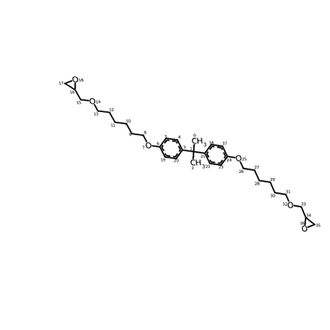 CC(C)(c1ccc(OCCCCCCOCC2CO2)cc1)c1ccc(OCCCCCCOCC2CO2)cc1